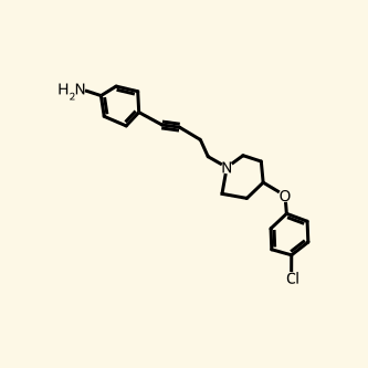 Nc1ccc(C#CCCN2CCC(Oc3ccc(Cl)cc3)CC2)cc1